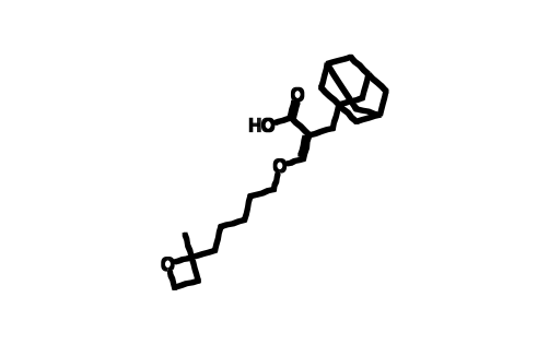 CC1(CCCCCOC=C(CC23CC4CC(CC(C4)C2)C3)C(=O)O)CCO1